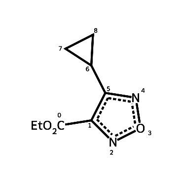 CCOC(=O)c1nonc1C1CC1